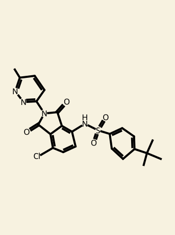 Cc1ccc(N2C(=O)c3c(Cl)ccc(NS(=O)(=O)c4ccc(C(C)(C)C)cc4)c3C2=O)nn1